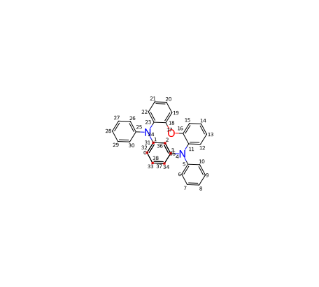 c1ccc(N(c2ccccc2)c2ccccc2Oc2ccccc2N(c2ccccc2)c2ccccc2)cc1